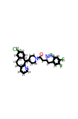 N[C@@H](CC(=O)N1CCC(=C2c3ccc(Cl)cc3CCc3cccnc32)CC1)Cc1cc(F)c(F)cc1F